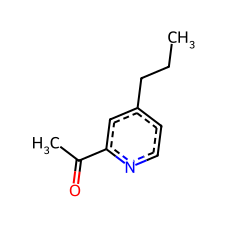 CCCc1ccnc(C(C)=O)c1